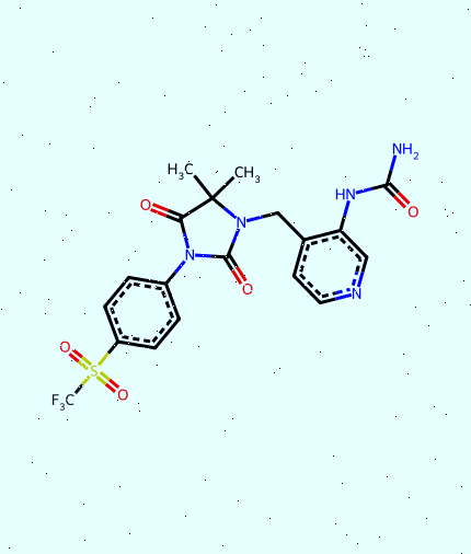 CC1(C)C(=O)N(c2ccc(S(=O)(=O)C(F)(F)F)cc2)C(=O)N1Cc1ccncc1NC(N)=O